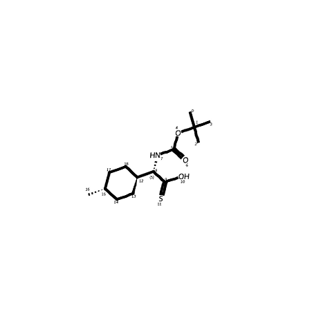 CC(C)(C)OC(=O)N[C@H](C(O)=S)[C@H]1CC[C@H](C)CC1